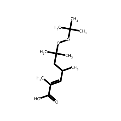 C/C(=C\C(C)CC(C)(C)OOC(C)(C)C)C(=O)O